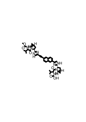 COC(=O)NC(C(=O)N1[C@@H]2C[C@@H]2C[C@H]1c1nc(C#Cc2ccc3cc(-c4c[nH]c([C@@H]5C[C@H]6C[C@H]6N5C(=O)C(NC(=O)O)C(C)C)n4)ccc3c2)c[nH]1)C(C)C